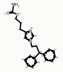 NC(=O)OCCCc1cn(CCC(c2ccccc2)c2ccccc2)cn1